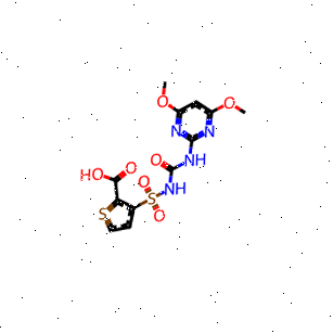 COc1cc(OC)nc(NC(=O)NS(=O)(=O)c2ccsc2C(=O)O)n1